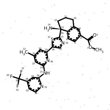 COC(=O)c1ccc2c(c1)CCC[C@@]2(N)c1ncc(-c2cc(C)cc(Nc3cc(C(F)(F)F)ccn3)n2)s1